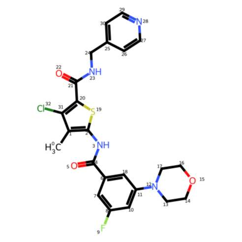 Cc1c(NC(=O)c2cc(F)cc(N3CCOCC3)c2)sc(C(=O)NCc2ccncc2)c1Cl